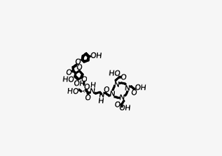 O=C(O)CN1CCN(CC(=O)O)CCN(CC(=O)NCCNC(=O)[C@H](CCO)OCOC2=CC3OC(Oc4ccc(O)cc4)=CC(=O)C3C(O)=C2O)CCN(CC(=O)O)CC1